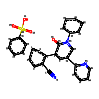 N#Cc1ccccc1-c1cc(-c2ccccn2)cn(-c2ccccc2)c1=O.O=S(=O)(O)c1ccccc1